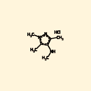 CNc1c(C)nn(C)c1C.Cl